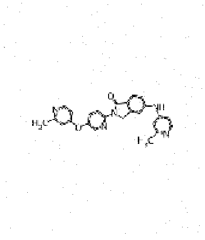 Cc1cc(Nc2ccc3c(c2)CN(c2ccc(Oc4ccnc(C)c4)cn2)C3=O)ccn1